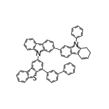 C1=Cc2c(n(-c3ccccc3)c3cc(-c4ccc5c6ccccc6n(-c6cc(-c7cccc(-c8ccccc8)c7)c7sc8ccccc8c7c6)c5c4)ccc23)CC1